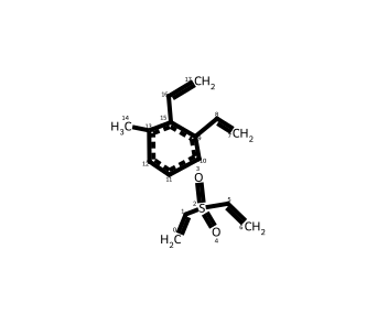 C=CS(=O)(=O)C=C.C=Cc1cccc(C)c1C=C